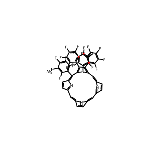 Fc1c(F)c(F)c(-c2c(-c3c(F)c(F)c(F)c(F)c3F)c3c(-c4c(F)c(F)c(F)c(F)c4F)c4nc(cc5ccc(cc6nc(cc2n3-c2c(F)c(F)c(F)c(F)c2F)C=C6)[nH]5)C=C4)c(F)c1F.[Mg]